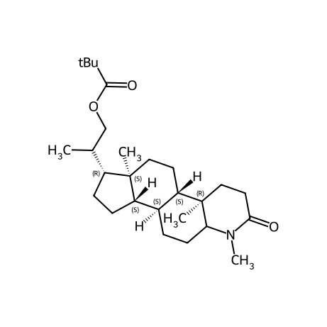 CC(COC(=O)C(C)(C)C)[C@H]1CC[C@H]2[C@@H]3CCC4N(C)C(=O)CC[C@]4(C)[C@H]3CC[C@]12C